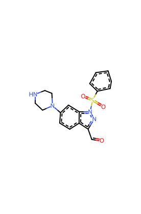 O=Cc1nn(S(=O)(=O)c2ccccc2)c2cc(N3CCNCC3)ccc12